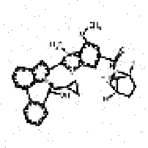 COc1cc(C(=O)N2C[C@H]3CC[C@@H]2[C@@H]3N)cc2nc(-c3cc4cccc(-c5ccccc5C(=O)O)c4n3CC3CC3)n(C)c12